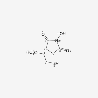 O=C(O)CCS.O=C1CCC(=O)N1O